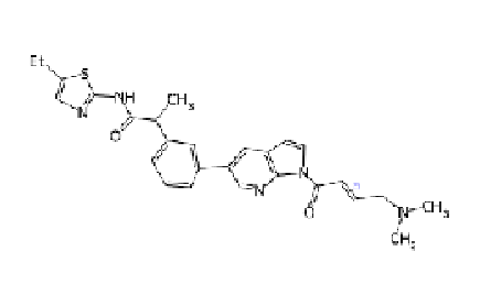 CCc1cnc(NC(=O)C(C)c2cccc(-c3cnc4c(ccn4C(=O)/C=C/CN(C)C)c3)c2)s1